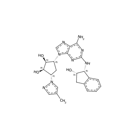 Cc1cnn([C@H]2C[C@@H](n3cnc4c(N)nc(N[C@@H]5c6ccccc6C[C@@H]5O)nc43)[C@H](O)[C@@H]2O)c1